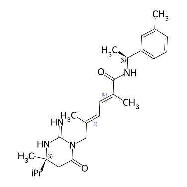 C/C(=C\C=C(/C)C(=O)N[C@@H](C)c1cccc(C)c1)CN1C(=N)N[C@](C)(C(C)C)CC1=O